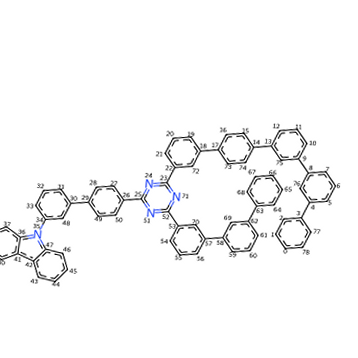 c1ccc(-c2cccc(-c3cccc(-c4ccc(-c5cccc(-c6nc(-c7ccc(-c8cccc(-n9c%10ccccc%10c%10ccccc%109)c8)cc7)nc(-c7cccc(-c8cccc(-c9ccccc9)c8)c7)n6)c5)cc4)c3)c2)cc1